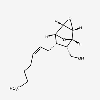 O=C(O)CCC/C=C\C[C@H]1[C@@H](CO)[C@@H]2O[C@H]1[C@@H]1O[C@@H]12